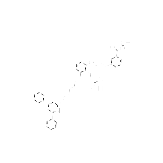 COC(=O)c1cccc(CCCOc2cccc(CCCCCCOc3cc(-c4ccccc4)cc(-c4ccccc4)n3)c2CCC(=O)O)c1